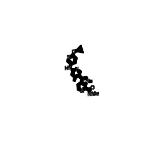 CNC(=O)c1nccc2c(-c3cnc(Nc4ccc(OC5CC5)nc4)cc3C)cn(C)c12